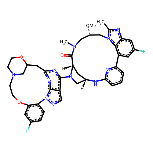 CO[C@H]1CN(C)C(=O)[C@@H]2C[C@@H](CN2c2nc3nc4c2cnn4-c2ccc(F)cc2OCCN2CCOC(C3)C2)Nc2cccc(n2)-c2cc(F)cc3nc(C)n(c23)C1